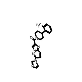 O=C(c1cn2nc(-n3ccnc3)ccc2n1)N1CCC(c2ccccc2C(F)(F)F)CC1